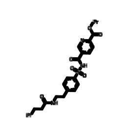 CC(C)CCC(=O)NCCc1ccc(S(=O)(=O)NC(=O)c2ccc(C(=O)OC(C)C)nc2)cc1